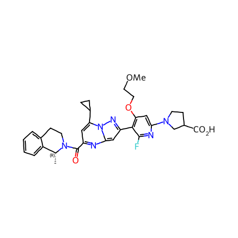 COCCOc1cc(N2CCC(C(=O)O)C2)nc(F)c1-c1cc2nc(C(=O)N3CCc4ccccc4[C@H]3C)cc(C3CC3)n2n1